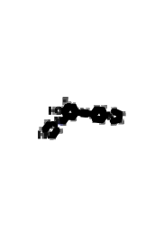 Oc1c(F)cc(C#Cc2ccc(N3CCCC3)cc2)cc1/C=N/N1CCNCC1